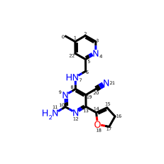 Cc1ccnc(CNc2nc(N)nc(C3=CCCO3)c2C#N)c1